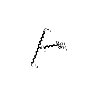 CCCCCCCCCCC(CCCCCCCCCC)COC(=O)CCCCCCC(=O)N(C)OC